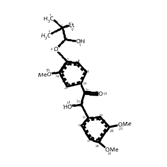 CCC(C)(C)C(O)Oc1ccc(C(=O)C(O)c2ccc(OC)c(OC)c2)cc1OC